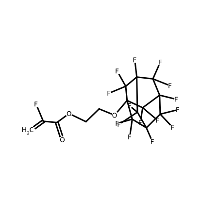 C=C(F)C(=O)OCCOC12C(F)(F)C3(F)C(F)(F)C(F)(C(F)(F)C(F)(C3(F)F)C1(F)F)C2(F)F